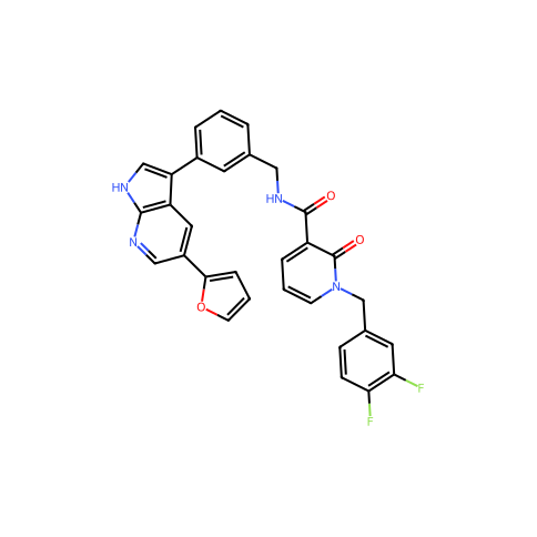 O=C(NCc1cccc(-c2c[nH]c3ncc(-c4ccco4)cc23)c1)c1cccn(Cc2ccc(F)c(F)c2)c1=O